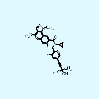 Cn1ncc2c(N)nc3cc(F)c(C(=O)N(Cc4ncc(C#CC(C)(C)O)cc4F)C4CC4)cc3c21